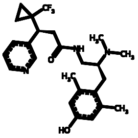 Cc1cc(O)cc(C)c1C[C@@H](CNC(=O)C[C@@H](c1cccnc1)C1(C(F)(F)F)CC1)N(C)C